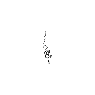 CCCCCCCC[C@H]1CC[C@H](C(=O)Oc2ccc(C#N)c(F)c2F)CC1